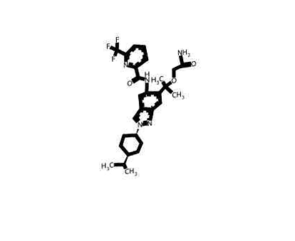 CC(C)[C@H]1CC[C@H](n2cc3cc(NC(=O)c4cccc(C(F)(F)F)n4)c(C(C)(C)OCC(N)=O)cc3n2)CC1